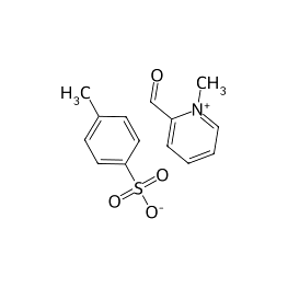 C[n+]1ccccc1C=O.Cc1ccc(S(=O)(=O)[O-])cc1